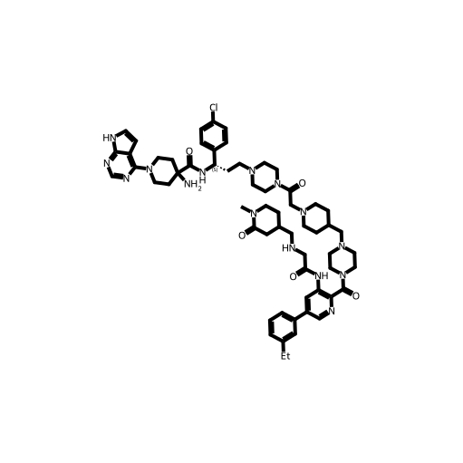 CCc1cccc(-c2cnc(C(=O)N3CCN(CC4CCN(CC(=O)N5CCN(CC[C@H](NC(=O)C6(N)CCN(c7ncnc8[nH]ccc78)CC6)c6ccc(Cl)cc6)CC5)CC4)CC3)c(NC(=O)CNCC3CCN(C)C(=O)C3)c2)c1